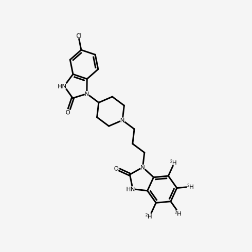 [2H]c1c([2H])c([2H])c2c([nH]c(=O)n2CCCN2CCC(n3c(=O)[nH]c4cc(Cl)ccc43)CC2)c1[2H]